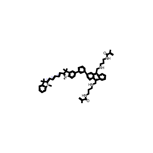 C=C(C)C(=O)NCCCNCc1c2ccccc2c(CNCCCNC(=O)C(=C)C)c2cc(-c3cccc(-c4ccc5c(c4)C(C)(C)C(/C=C/C=C/C=C4\N(C)c6ccccc6C4(C)C)=[N+]5C)c3)ccc12